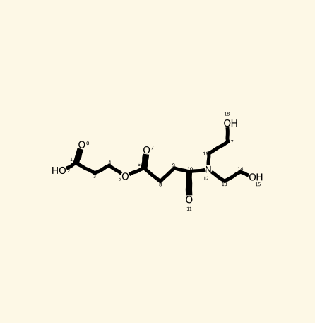 O=C(O)CCOC(=O)CCC(=O)N(CCO)CCO